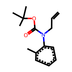 C=CCN(C(=O)OC(C)(C)C)c1ccccc1C